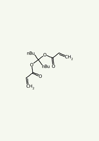 C=CC(=O)OC(CCCC)(CCCC)OC(=O)C=C